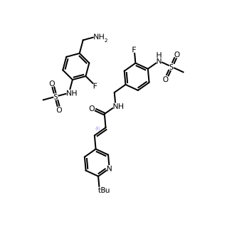 CC(C)(C)c1ccc(/C=C/C(=O)NCc2ccc(NS(C)(=O)=O)c(F)c2)cn1.CS(=O)(=O)Nc1ccc(CN)cc1F